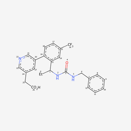 CCC(NC(=O)NCc1ccccc1)c1cc(C(F)(F)F)ccc1-c1cncc(CC(=O)O)c1